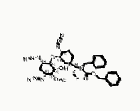 CC(=O)O[C@@H]1[C@@H](O)[C@H](O[C@H]2C[C@H]([C@@H](CF)N(Cc3ccccc3)C(=O)OCc3ccccc3)CC[C@H]2N=[N+]=[N-])[C@@H](N=[N+]=[N-])C[C@H]1N=[N+]=[N-]